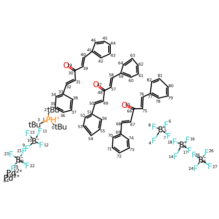 CC(C)(C)[PH+](C(C)(C)C)C(C)(C)C.F[B-](F)(F)F.F[B-](F)(F)F.F[B-](F)(F)F.F[B-](F)(F)F.F[B-](F)(F)F.O=C(C=Cc1ccccc1)C=Cc1ccccc1.O=C(C=Cc1ccccc1)C=Cc1ccccc1.O=C(C=Cc1ccccc1)C=Cc1ccccc1.[Pd+2].[Pd+2]